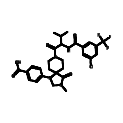 CC(C)C(NC(=O)c1cc(Cl)cc(C(F)(F)F)c1)C(=O)N1CCC2(CC1)C(=O)N(C)CN2c1ccc(C(=O)O)cc1